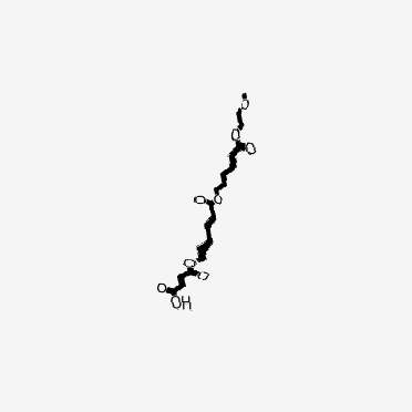 COCCOC(=O)CCCCCOC(=O)CCCCCOC(=O)CCC(=O)O